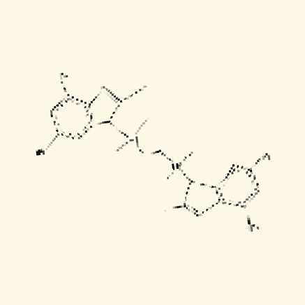 CC1=Cc2c(C(C)C)cc(C(C)C)cc2[CH]1[Hf]([CH3])([CH3])[CH2][CH2][Hf]([CH3])([CH3])[CH]1C(C)=Cc2c(C(C)C)cc(C(C)C)cc21